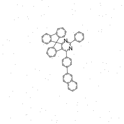 c1ccc(-c2nc(-c3ccc(-c4ccc5ccccc5c4)cc3)c3c(n2)C2(c4ccccc4-c4ccccc42)c2ccccc2-3)cc1